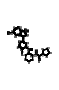 O=C(N[C@@H]1CCCCC1Nc1nc(-c2c[nH]c3ncc(Cl)cc23)ncc1F)C1CCCC1